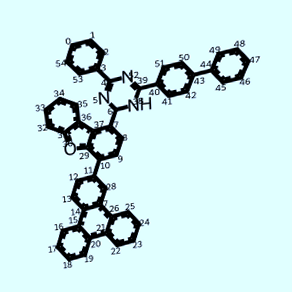 c1ccc(C2=NC(c3ccc(-c4ccc5c6ccccc6c6ccccc6c5c4)c4oc5ccccc5c34)NC(c3ccc(-c4ccccc4)cc3)=N2)cc1